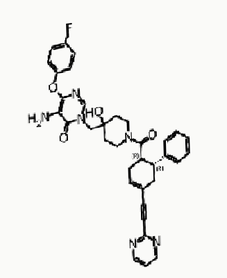 Nc1c(Oc2ccc(F)cc2)ncn(CC2(O)CCN(C(=O)[C@@H]3CC=C(C#Cc4ncccn4)C[C@H]3c3ccccc3)CC2)c1=O